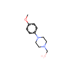 BCN1CCN(c2ccc(OC)cc2)CC1